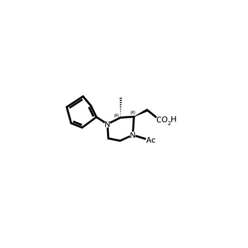 CC(=O)N1CCN(c2ccccc2)[C@H](C)[C@H]1CC(=O)O